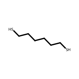 SCC[CH]CCCS